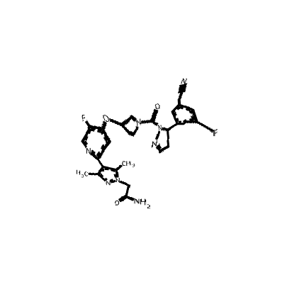 Cc1nn(CC(N)=O)c(C)c1-c1cc(OC2CN(C(=O)N3N=CCC3c3cc(F)cc(C#N)c3)C2)c(F)cn1